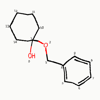 OC1(OCc2ccccc2)CCCCC1